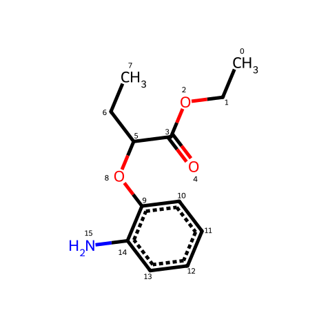 CCOC(=O)C(CC)Oc1ccccc1N